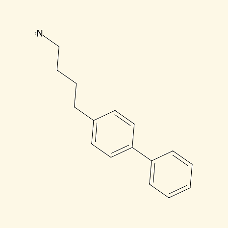 [N]CCCCc1ccc(-c2ccccc2)cc1